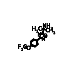 CC(C)(N)c1nc(-c2ccc(OC(F)(F)F)cc2)no1